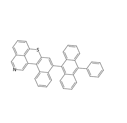 c1ccc(-c2c3ccccc3c(-c3cc4c(c5ccccc35)-c3cncc5cccc(c35)S4)c3ccccc23)cc1